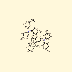 C=Cc1c(-c2cc(N(c3ccc(C#N)cc3)c3cccc(C)c3)ccc2C)cc(N(C2=CCC(C#N)C=C2)c2cccc(C)c2)cc1C(C)(C)C1=C(C)CCC=C1